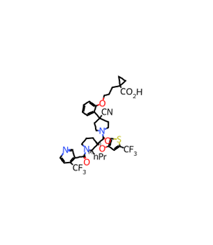 CCC[C@H]1N(C(=O)c2cnccc2C(F)(F)F)CCC[C@@]1(Oc1csc(C(F)(F)F)c1)C(=O)N1CCC(C#N)(c2ccccc2OCCCC2(C(=O)O)CC2)CC1